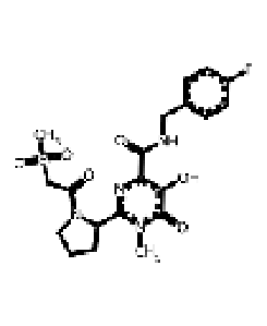 Cn1c(C2CCCN2C(=O)CS(C)(=O)=O)nc(C(=O)NCc2ccc(F)cc2)c(O)c1=O